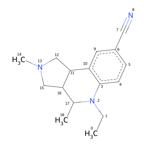 CCN1c2ccc(C#N)cc2C2CN(C)CC2C1C